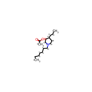 CC(=O)O.CCCCCCCN1CCC(CCC)CC1